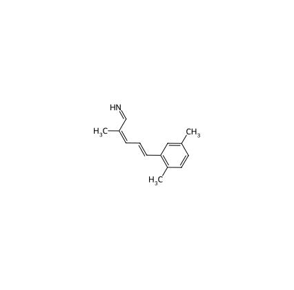 C/C(C=N)=C/C=C/c1cc(C)ccc1C